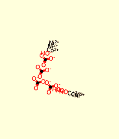 O=C([O-])[O-].O=C([O-])[O-].O=C([O-])[O-].O=C([O-])[O-].[Co+2].[Co+2].[Co+2].[Ni+2].[Ni+2].[Ni+2].[OH-].[OH-].[OH-].[OH-]